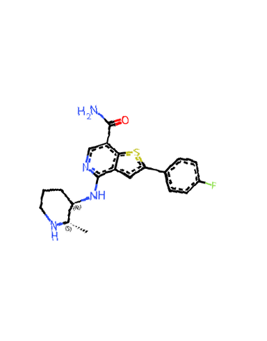 C[C@@H]1NCCC[C@H]1Nc1ncc(C(N)=O)c2sc(-c3ccc(F)cc3)cc12